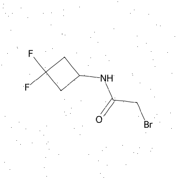 O=C(CBr)NC1CC(F)(F)C1